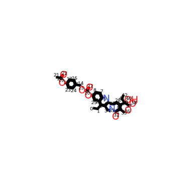 CCc1c2c(nc3ccc(OC(=O)OCc4ccc(OC(C)=O)cc4)cc13)-c1cc3c(c(=O)n1C2)COC(=O)[C@]3(O)CC